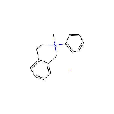 C[N+]1(c2ccccc2)CCc2ccccc2C1.[I-]